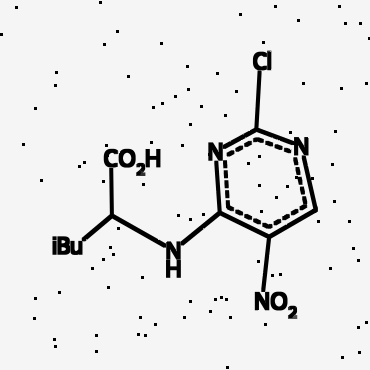 CCC(C)C(Nc1nc(Cl)ncc1[N+](=O)[O-])C(=O)O